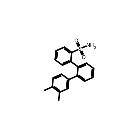 Cc1ccc(-c2ccccc2-c2ccccc2S(N)(=O)=O)cc1C